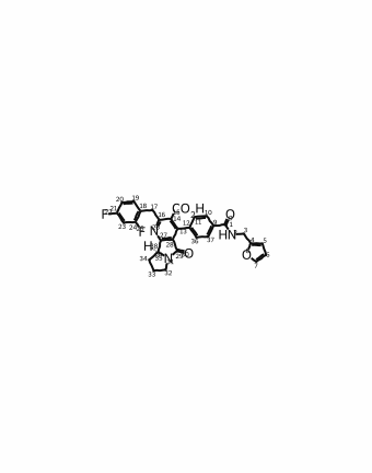 O=C(NCc1ccco1)c1ccc(-c2c(C(=O)O)c(Cc3ccc(F)cc3F)nc3c2C(=O)N2CCC[C@@H]32)cc1